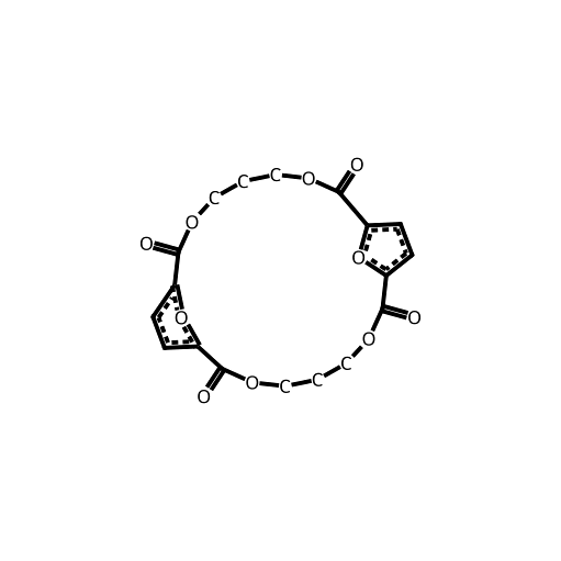 O=C1OCCCOC(=O)c2ccc(o2)C(=O)OCCCOC(=O)c2ccc1o2